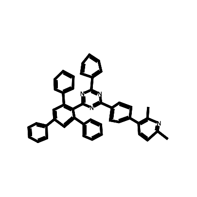 Cc1ccc(-c2ccc(-c3nc(-c4ccccc4)nc(-c4c(-c5ccccc5)cc(-c5ccccc5)cc4-c4ccccc4)n3)cc2)c(C)n1